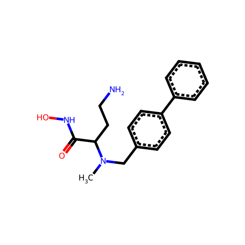 CN(Cc1ccc(-c2ccccc2)cc1)C(CCN)C(=O)NO